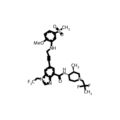 COc1ccc(S(C)(=O)=O)cc1NCC#Cc1cc(C(=O)N[C@H]2CCN(CC(C)(F)F)C[C@@H]2C)c2ncn(CC(F)(F)F)c2c1